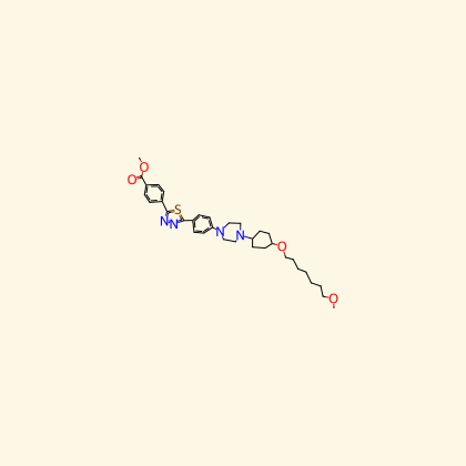 COCCCCCCCOC1CCC(N2CCN(c3ccc(-c4nnc(-c5ccc(C(=O)OC)cc5)s4)cc3)CC2)CC1